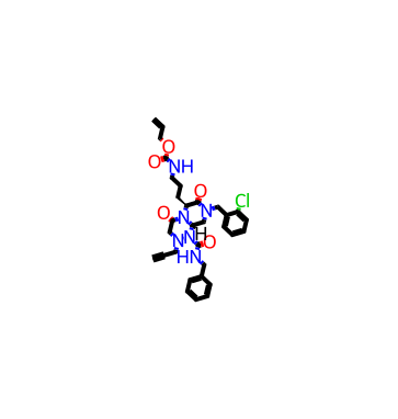 C#CCN1CC(=O)N2[C@@H](CCCNC(=O)OCC=C)C(=O)N(Cc3ccccc3Cl)C[C@@H]2N1C(=O)NCc1ccccc1